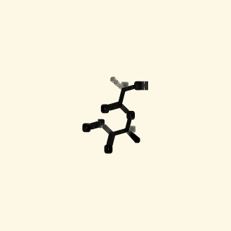 C[C@H](O)C(=O)O[C@@H](C)C(=O)P=O